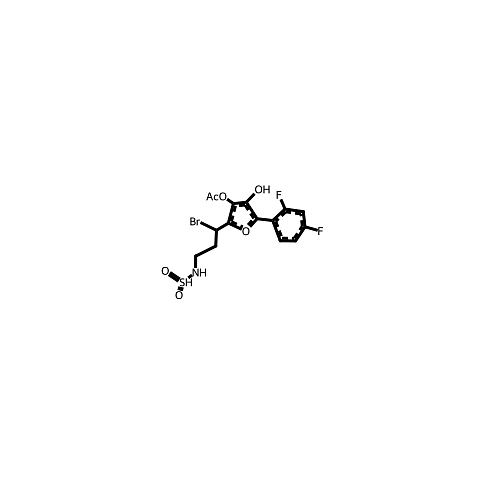 CC(=O)Oc1c(C(Br)CCN[SH](=O)=O)oc(-c2ccc(F)cc2F)c1O